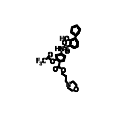 O=C(OCCCN1CCOCC1)c1ccc(NS(=O)(=O)c2cccc(-c3ccccc3)c2O)cc1OC(=O)C(F)(F)F